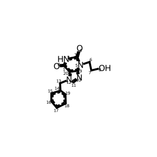 O=c1[nH]c(=O)n(CCO)c2ncn(Cc3ccccc3)c12